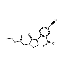 CCOC(=O)CC1CCN(c2ccc(C#N)cc2[N+](=O)[O-])C1=O